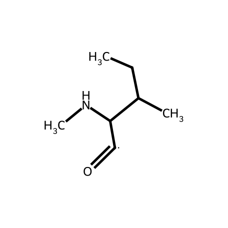 CCC(C)C([C]=O)NC